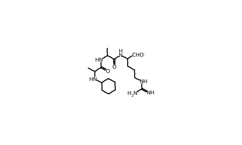 CC(NC(=O)C(C)NC1CCCCC1)C(=O)NC([C]=O)CCCNC(=N)N